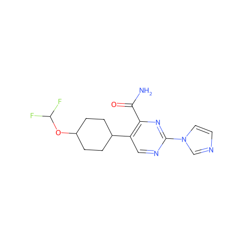 NC(=O)c1nc(-n2ccnc2)ncc1C1CCC(OC(F)F)CC1